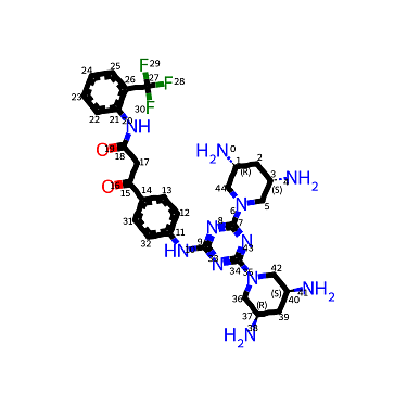 N[C@@H]1C[C@H](N)CN(c2nc(Nc3ccc(C(=O)CC(=O)Nc4ccccc4C(F)(F)F)cc3)nc(N3C[C@H](N)C[C@H](N)C3)n2)C1